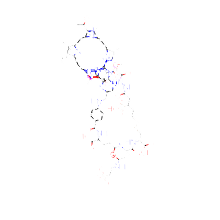 CC[C@H]1c2cc3[nH]c4c(c3C)C(=O)C(C(=O)OC)c4c3nc(cc4[nH]c(cc(n2)[C@@H]1C)c(C(C)=O)c4C)[C@@H](C)[C@@H]3CCC(=O)NNC(=O)CC(CCSSC[C@H](NC(=O)[C@H](CC(=O)NCCS(=O)(=O)O)NC(=O)CC[C@H](NC(=O)c1ccc(NCc2cnc3nc(N)[nH]c(=O)c3n2)cc1)C(=O)O)C(=O)O)S(=O)(=O)O